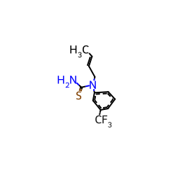 CC=CCN(C(N)=S)c1cccc(C(F)(F)F)c1